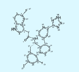 O=C(Cc1c[nH]c2ccc(F)cc12)N[C@@H](Cc1cc(F)cc(F)c1)c1ncccc1-c1ccnc(-c2nn[nH]n2)c1